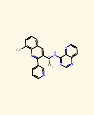 FC(F)(F)c1cccc2cc([C@@H](Nc3ncnc4cccnc34)C(F)(F)F)c(-c3cccnc3)nc12